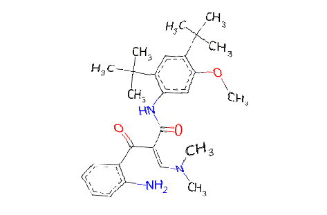 COc1cc(NC(=O)/C(=C\N(C)C)C(=O)c2ccccc2N)c(C(C)(C)C)cc1C(C)(C)C